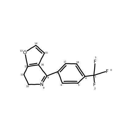 FC(F)(F)c1ccc(C2=NCCc3occc32)cc1